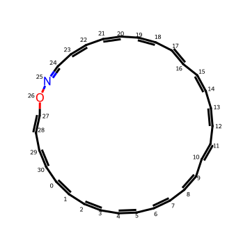 C1=C\C=C/C=C\C=C/C=C\C=C\C=C/C=C\C=C\C=C/C=C\C=C/C=N\O/C=C/C=C1